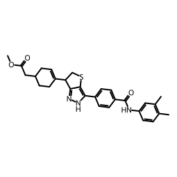 COC(=O)CC1CC=C(C2CSc3c2n[nH]c3-c2ccc(C(=O)Nc3ccc(C)c(C)c3)cc2)CC1